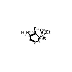 CCS(=O)(=O)c1cccc(N)c1F